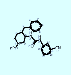 CCCN1CCC(Cc2ccccc2)C(NC(=O)Nc2cccc(C#N)c2)C1